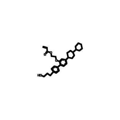 C=CC(=O)OCCOc1cc(C2CCC(C3CCCCC3)CC2)ccc1-c1ccc(CCCO)cc1